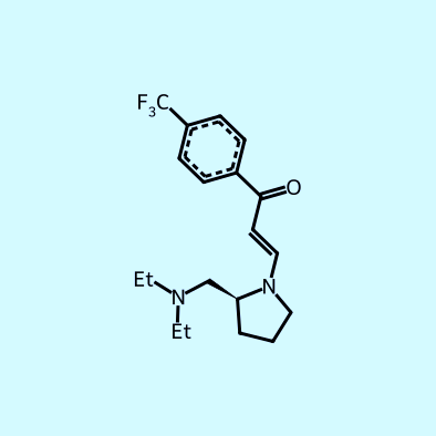 CCN(CC)C[C@@H]1CCCN1/C=C/C(=O)c1ccc(C(F)(F)F)cc1